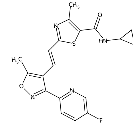 Cc1nc(/C=C/c2c(-c3ccc(F)cn3)noc2C)sc1C(=O)NC1CC1